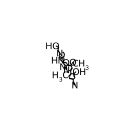 COc1cc(-c2c(C)cc(C#N)cc2O)nc2nc(N[C@@H]3CCCN(CCO)C3)oc12